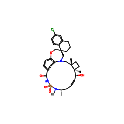 CCN1[C@@H](C)C/C=C\[C@H](O)[C@@H]2CC[C@H]2CN2C[C@@]3(CCCc4cc(Cl)ccc43)COc3ccc(cc32)C(=O)NS1(=O)=O